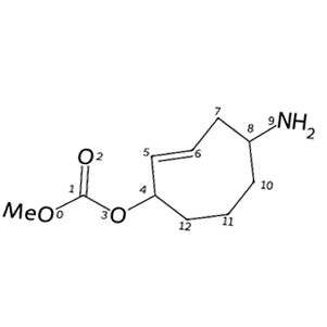 COC(=O)OC1/C=C/CC(N)CCC1